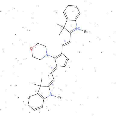 CCN1C2=C(CCC=C2)C(C)(C)/C1=C\C=C1/C=CC(/C=C/C2=[N+](CC)c3ccccc3C2(C)C)=C1N1CCOCC1